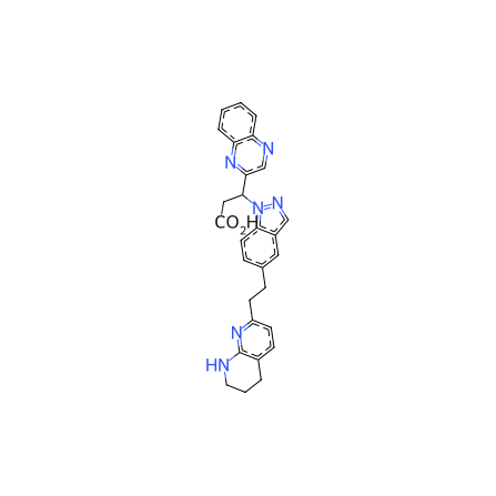 O=C(O)CC(c1cnc2ccccc2n1)n1ncc2cc(CCc3ccc4c(n3)NCCC4)ccc21